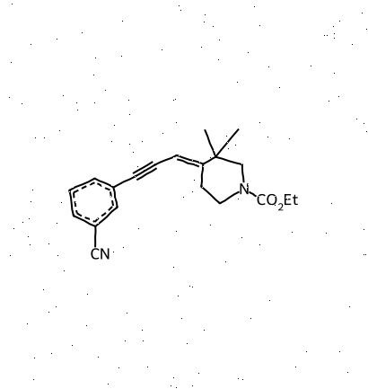 CCOC(=O)N1CC/C(=C\C#Cc2cccc(C#N)c2)C(C)(C)C1